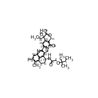 CCC(C)(C)OCC(=O)N[C@H]1CCc2c(C)c(F)cc3nc4c(c1c23)Cn1c-4cc2c(c1=O)COC(=O)[C@]2(O)CC